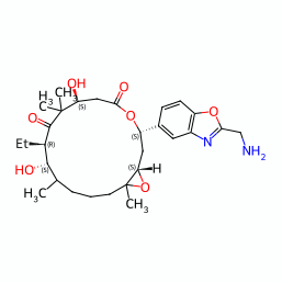 CC[C@H]1C(=O)C(C)(C)[C@@H](O)CC(=O)O[C@H](c2ccc3oc(CN)nc3c2)C[C@@H]2OC2(C)CCCC(C)[C@@H]1O